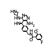 COc1ccc(F)cc1C(=O)NCc1ccc(C(=N)c2c(N)ncnc2NC2CNC2)cc1